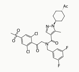 Cc1c(C(=O)N(CC(=O)c2c(Cl)cc(S(C)(=O)=O)cc2Cl)Cc2cc(F)cc(F)c2)cnn1[C@H]1CC[C@H](C(C)=O)CC1